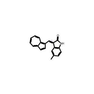 Cc1ccc2c(c1)/C(=C\c1ccc3cccccc1-3)C(=O)N2